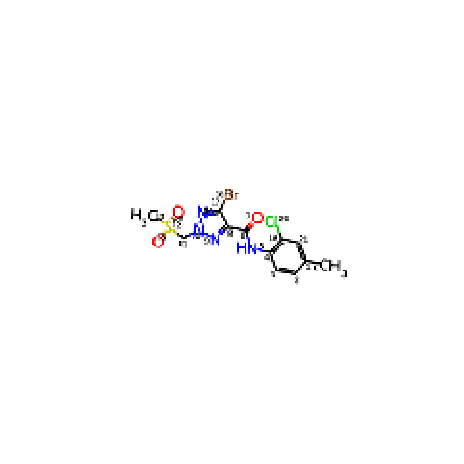 Cc1ccc(NC(=O)c2nn(CS(C)(=O)=O)nc2Br)c(Cl)c1